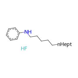 CCCCCCCCCCCCNc1ccccc1.F